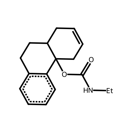 CCNC(=O)OC12CC=CCC1CCc1ccccc12